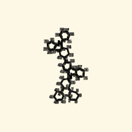 C1=Cc2c3c(c4c(c2CC1)C=C(n1c2ccccc2c2cc(C5CCc6c(c7ccccc7n6-c6ccccc6)C5)ccc21)CC4)CCC=C3